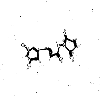 O=C(C=Cc1cc(Cl)cc(Cl)c1)ON1C(=O)CCC1=O